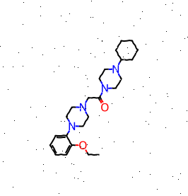 CCOc1ccccc1N1CCN(CC(=O)N2CCN(C3CCCCC3)CC2)CC1